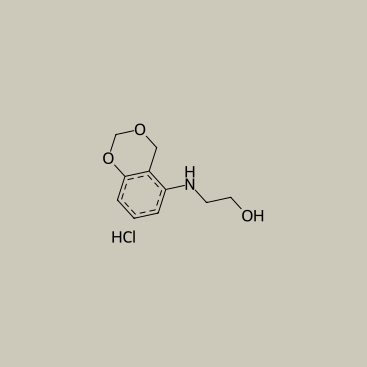 Cl.OCCNc1cccc2c1COCO2